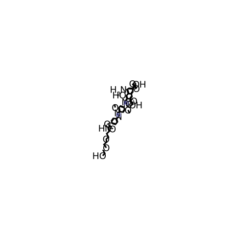 COc1cc(/N=N/c2c(S(=O)(=O)O)cc3cc(S(=O)(=O)O)cc(N)c3c2O)c(OC)cc1/N=N/c1ccc(S(=O)(=O)NCCCOCCOCCO)cc1